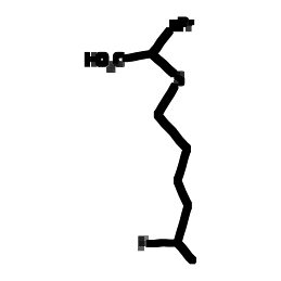 CCCC(SCCCCC(C)F)C(=O)O